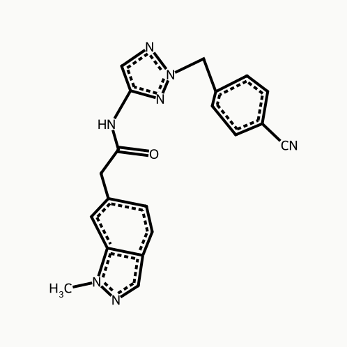 Cn1ncc2ccc(CC(=O)Nc3cnn(Cc4ccc(C#N)cc4)n3)cc21